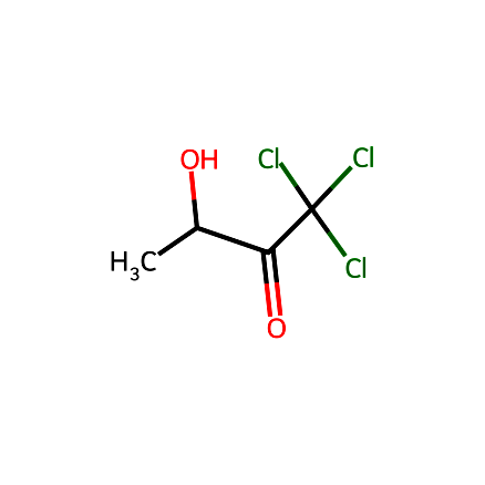 CC(O)C(=O)C(Cl)(Cl)Cl